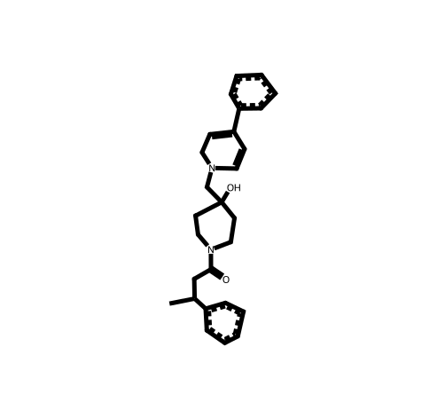 CC(CC(=O)N1CCC(O)(CN2C=CC(c3ccccc3)=CC2)CC1)c1ccccc1